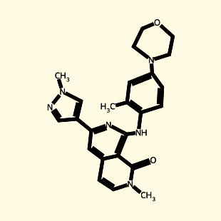 Cc1cc(N2CCOCC2)ccc1Nc1nc(-c2cnn(C)c2)cc2ccn(C)c(=O)c12